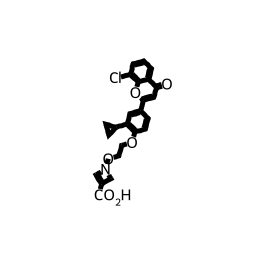 O=C(O)C1=CN(OCCOc2ccc(-c3cc(=O)c4cccc(Cl)c4o3)cc2C2CC2)C1